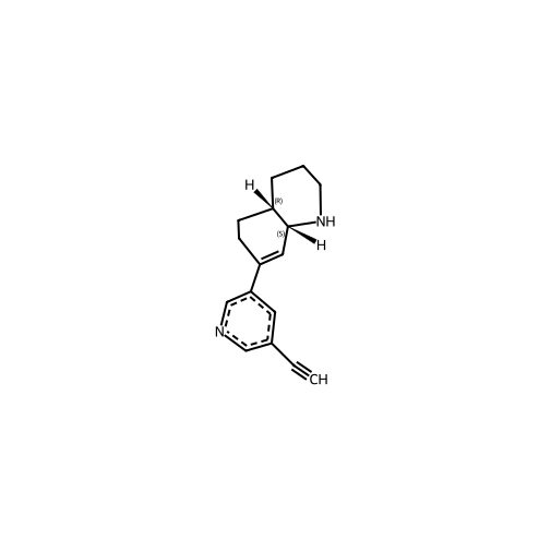 C#Cc1cncc(C2=C[C@H]3NCCC[C@H]3CC2)c1